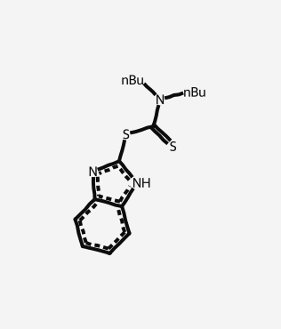 CCCCN(CCCC)C(=S)Sc1nc2ccccc2[nH]1